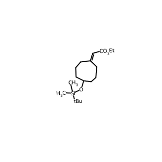 CCOC(=O)C=C1CCCC(O[Si](C)(C)C(C)(C)C)CCC1